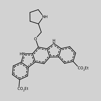 CCOC(=O)c1ccc2[nH]c3c(OCC4CCCN4)c4[nH]c5ccc(C(=O)OCC)cc5c4cc3c2c1